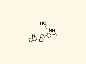 N#Cc1ccc(-n2ccc3c(-c4cnc5ccccc5c4)cccc32)cc1N[C@H]1CC[C@H](O)CC1